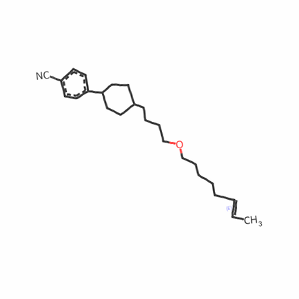 C/C=C/CCCCCOCCCCC1CCC(c2ccc(C#N)cc2)CC1